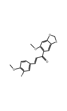 COc1ccc(C=CC(=O)c2cc3c(cc2OC)OCS3)cc1F